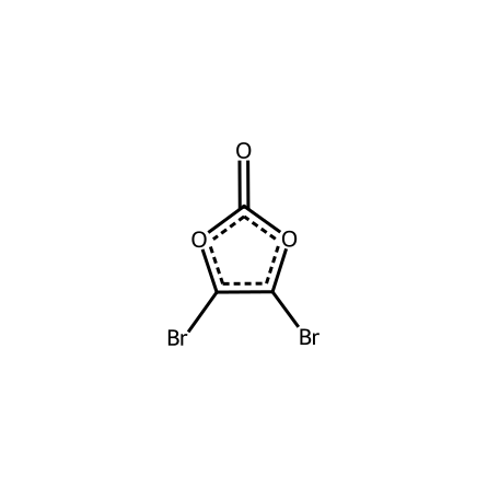 O=c1oc(Br)c(Br)o1